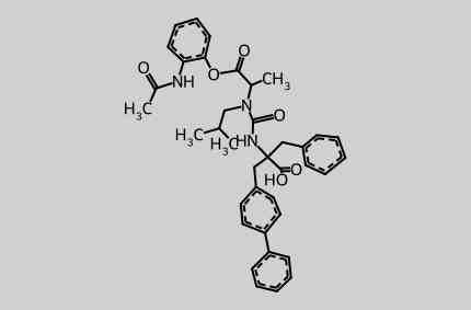 CC(=O)Nc1ccccc1OC(=O)C(C)N(CC(C)C)C(=O)NC(Cc1ccccc1)(Cc1ccc(-c2ccccc2)cc1)C(=O)O